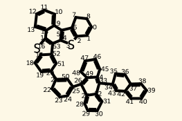 C1=Cc2sc3c(c2CC1)c1ccccc1c1sc2ccc(-c4cccc(-c5c6ccccc6c(-c6ccc7ccccc7c6)c6ccccc56)c4)cc2c13